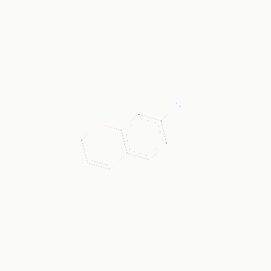 [NH]c1ccc2c(c1)OCC=C2